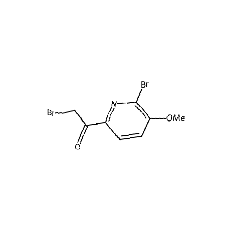 COc1ccc(C(=O)CBr)nc1Br